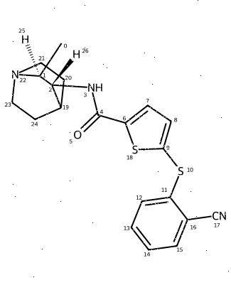 C[C@H]1[C@H](NC(=O)c2ccc(Sc3ccccc3C#N)s2)C2CCN1CC2